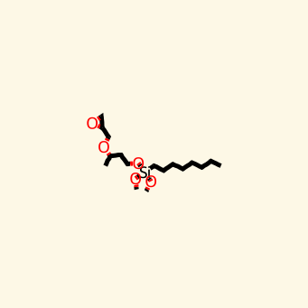 CCCCCCCC[Si](OC)(OC)OCCC(C)OCC1CO1